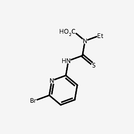 CCN(C(=O)O)C(=S)Nc1cccc(Br)n1